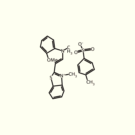 COc1ccccc1N(C)/C=C/c1sc2ccccc2[n+]1C.Cc1ccc(S(=O)(=O)[O-])cc1